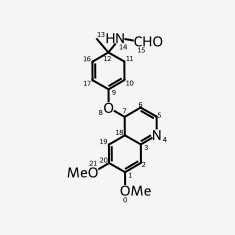 COC1=CC2=NC=CC(OC3=CCC(C)(NC=O)C=C3)C2C=C1OC